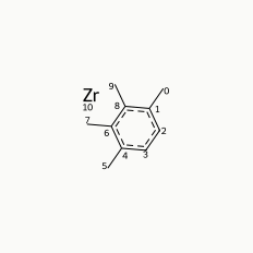 Cc1ccc(C)c(C)c1C.[Zr]